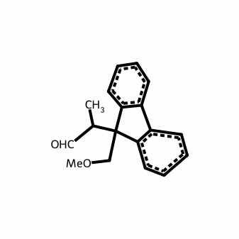 COCC1(C(C)C=O)c2ccccc2-c2ccccc21